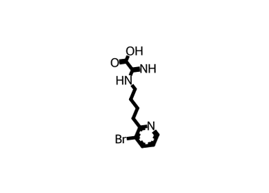 N=C(NCCCCc1ncccc1Br)C(=O)O